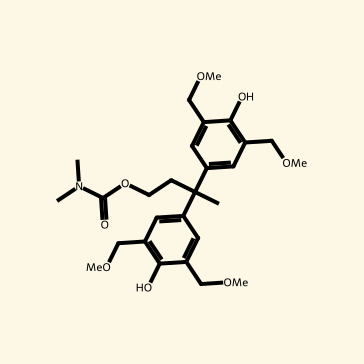 COCc1cc(C(C)(CCOC(=O)N(C)C)c2cc(COC)c(O)c(COC)c2)cc(COC)c1O